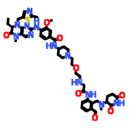 CC[C@@H]1C(=O)N(C)c2cnc(Nc3ccc(C(=O)NC4CCN(CCOCCNCC(=O)Nc5cccc(C=O)c5CN(C)C5CCC(=O)NC5=O)CC4)cc3OC)nc2N1Cc1cnc(C)s1